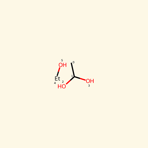 CC(O)O.CCO